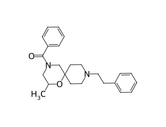 CC1CN(C(=O)c2ccccc2)CC2(CCN(CCc3ccccc3)CC2)O1